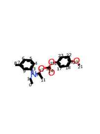 CCN(c1cccc(C)c1)C(C)OC(=O)Oc1ccc(OC)cc1